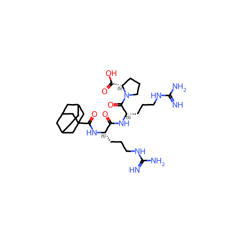 N=C(N)NCCC[C@H](NC(=O)C12CC3CC(CC(C3)C1)C2)C(=O)N[C@@H](CCCNC(=N)N)C(=O)N1CCC[C@H]1C(=O)O